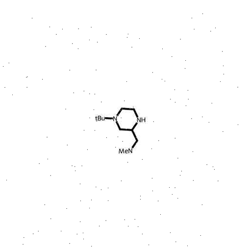 CNCC1CN(C(C)(C)C)CCN1